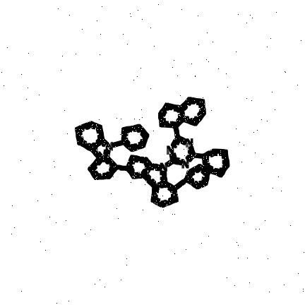 c1ccc(-c2nc(-c3cccc4ccccc34)nc(-n3c4ccc(-c5cccc6c7ccccc7n(-c7ccccc7)c56)cc4c4cccc(-c5ccccc5)c43)n2)cc1